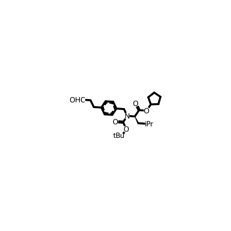 CC(C)C[C@H](C(=O)OC1CCCC1)N(Cc1ccc(CCC=O)cc1)C(=O)OC(C)(C)C